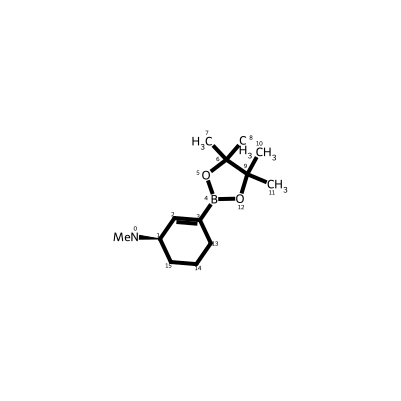 CN[C@H]1C=C(B2OC(C)(C)C(C)(C)O2)CCC1